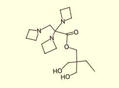 CCC(CO)(CO)COC(=O)C(CN1CCC1)(N1CCC1)N1CCC1